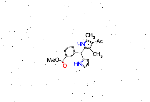 COC(=O)c1cccc(C(c2ccc[nH]2)c2[nH]c(C)c(C(C)=O)c2C)c1